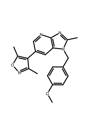 COc1ccc(Cn2c(C)nc3ncc(-c4c(C)noc4C)cc32)cc1